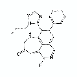 CCCn1ncnc1C1C2=C3C(=CC1c1ccccc1)C=NN(F)C3=CC(=O)CN2